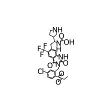 CCS(=O)(=O)c1ccc(Cl)cc1Cn1c(=O)[nH]c2cc(C[C@H](NC(=O)O)C3CCNC3)c(C(F)(F)F)cc2c1=O